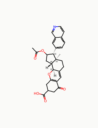 CC(=O)OC1C[C@H]2[C@@H]3OC4=C(C=C3CC[C@]2(C)[C@H]1c1ccc2ccncc2c1)C(=O)CC(C(=O)O)C4